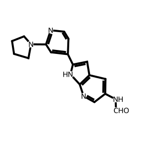 O=CNc1cnc2[nH]c(-c3ccnc(N4CCCC4)c3)cc2c1